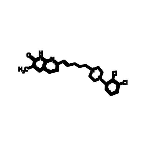 Cc1cc2ccc(C=CCCCN3CCN(c4cccc(Cl)c4Cl)CC3)nc2[nH]c1=O